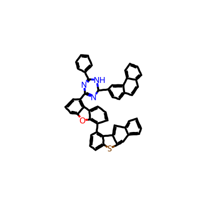 c1ccc(C2=NC(c3cccc4oc5c(-c6cccc7sc8cc9ccccc9cc8c67)cccc5c34)=NC(c3ccc4ccc5ccccc5c4c3)N2)cc1